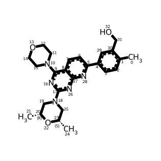 Cc1ccc(-c2ccc3c(N4CCOCC4)nc(N4C[C@@H](C)O[C@@H](C)C4)nc3n2)cc1CO